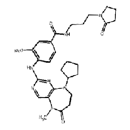 COc1cc(C(=O)NCCCN2CCCC2=O)ccc1Nc1ncc2c(n1)N(C1CCCC1)CCC(=O)N2C